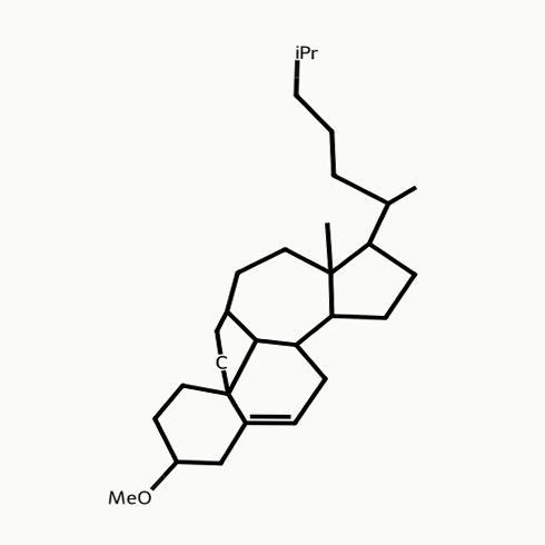 COC1CCC23CCC4CCC5(C)C(C(C)CCCC(C)C)CCC5C(CC=C2C1)C43